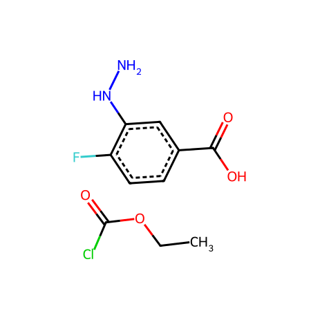 CCOC(=O)Cl.NNc1cc(C(=O)O)ccc1F